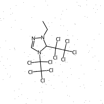 CCN1N=CN(C(Cl)(Cl)C(Cl)(Cl)Cl)C1C(Cl)(Cl)C(Cl)(Cl)Cl